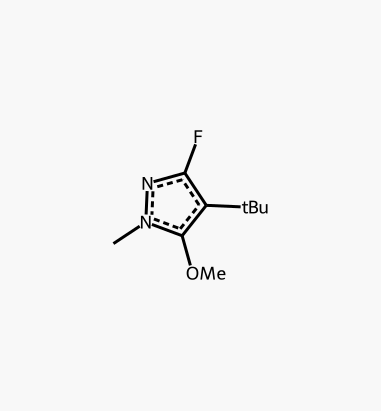 COc1c(C(C)(C)C)c(F)nn1C